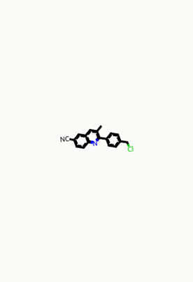 Cc1cc2cc(C#N)ccc2nc1-c1ccc(CCl)cc1